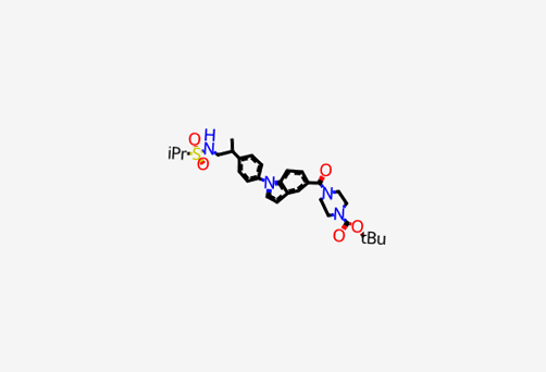 CC(CNS(=O)(=O)C(C)C)c1ccc(-n2ccc3cc(C(=O)N4CCN(C(=O)OC(C)(C)C)CC4)ccc32)cc1